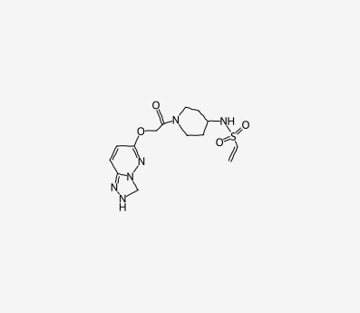 C=CS(=O)(=O)NC1CCN(C(=O)COC2=NN3CNN=C3C=C2)CC1